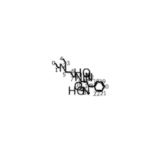 CCN(CC)CCCNC(=O)C(=NO)C(=NO)c1ccccc1